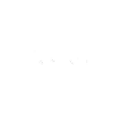 CO/N=C(\C(=O)O)c1cccc(NC=O)n1